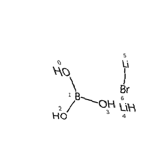 OB(O)O.[LiH].[Li][Br]